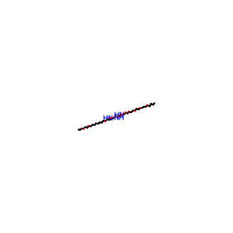 CCCCCCCCCCCCCCCCCCNCCNCCNCCCCCCCCCCCCCCCCCC